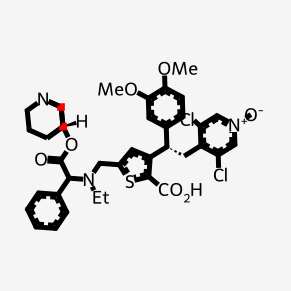 CCN(Cc1cc([C@@H](Cc2c(Cl)c[n+]([O-])cc2Cl)c2ccc(OC)c(OC)c2)c(C(=O)O)s1)C(C(=O)O[C@H]1CN2CCC1CC2)c1ccccc1